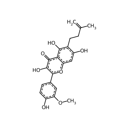 C=C(C)CCc1c(O)cc2oc(-c3ccc(O)c(OC)c3)c(O)c(=O)c2c1O